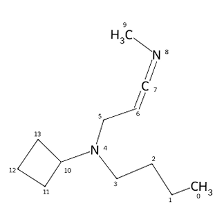 CCCCN(CC=C=NC)C1CCC1